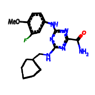 COc1ccc(Nc2nc(NCC3CCCCC3)nc(C(N)=O)n2)cc1F